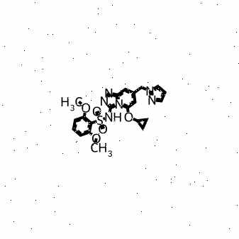 COc1cccc(OC)c1S(=O)(=O)Nc1nnc2cc(Cn3cccn3)cc(OC3CC3)n12